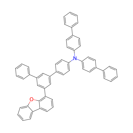 c1ccc(-c2ccc(N(c3ccc(-c4ccccc4)cc3)c3ccc(-c4cc(-c5ccccc5)cc(-c5cccc6c5oc5ccccc56)c4)cc3)cc2)cc1